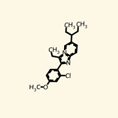 CCc1c(-c2ccc(OC)cc2Cl)nc2ccc(C(CC)CC)cn12